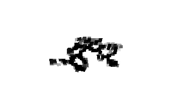 COC(CP(=O)(OC)OC(=O)C(C)(C)C)n1cnc2c(N)ncnc21